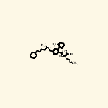 CSCC[C@H](NC(=O)c1ccc(COC(C)CCCCC2CCCCC2)cc1-c1ccccc1C)C(=O)O